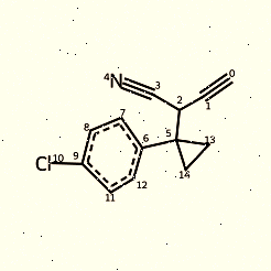 C#CC(C#N)C1(c2ccc(Cl)cc2)CC1